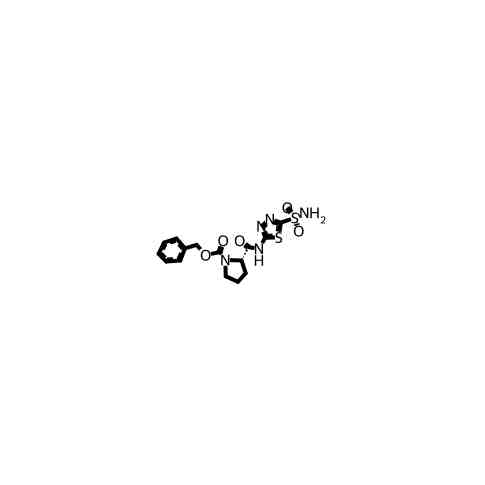 NS(=O)(=O)c1nnc(NC(=O)[C@@H]2CCCN2C(=O)OCc2ccccc2)s1